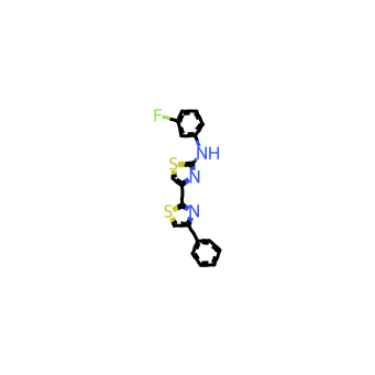 Fc1cccc(Nc2nc(-c3nc(-c4ccccc4)cs3)cs2)c1